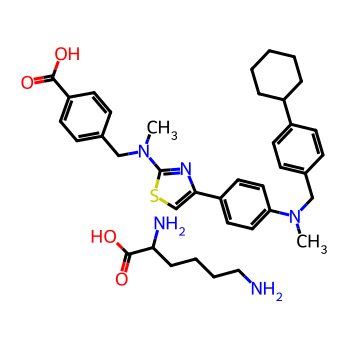 CN(Cc1ccc(C2CCCCC2)cc1)c1ccc(-c2csc(N(C)Cc3ccc(C(=O)O)cc3)n2)cc1.NCCCCC(N)C(=O)O